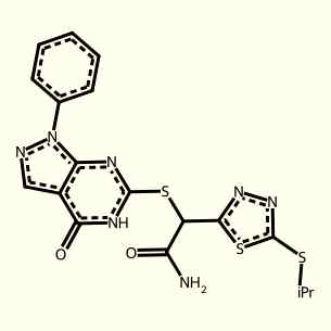 CC(C)Sc1nnc(C(Sc2nc3c(cnn3-c3ccccc3)c(=O)[nH]2)C(N)=O)s1